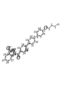 CCCCOc1ccc(-c2ccc(-c3ccc(C(=O)n4n[n+]([O-])c5ccccc54)cn3)cc2)cc1